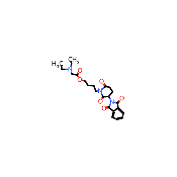 CCN(CC)CC(=O)OCCCCN1C(=O)CCC(N2C(=O)c3ccccc3C2=O)C1=O